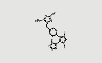 CCCc1nc(CCC)n(Cc2ccc(-n3c(F)cc(F)c3-c3nnn[nH]3)cc2)n1